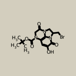 CC(C)(C)OC(=O)N1CC(=O)N2CC(CBr)n3c2c1cc(O)c3=O